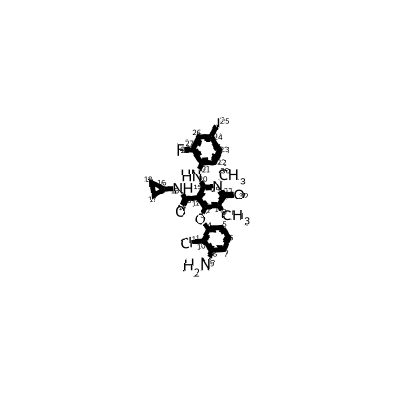 Cc1c(Oc2cccc(N)c2Cl)c(C(=O)NC2CC2)c(Nc2ccc(I)cc2F)n(C)c1=O